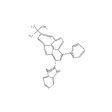 CC(C)(C)c1cc2ccc3c(-c4ccccc4)cc(-c4nc5ccccc5[nH]4)c4ccc(c1)c2c34